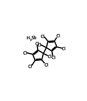 ClC1=C(Cl)C(Cl)(C2(Cl)C(Cl)=C(Cl)C(Cl)=C2Cl)C(Cl)=C1Cl.[SbH3]